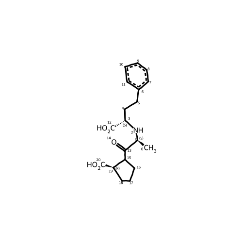 C[C@H](N[C@@H](CCc1ccccc1)C(=O)O)C(=O)C1CCC[C@H]1C(=O)O